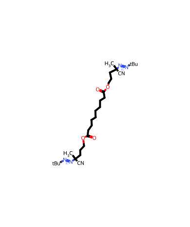 CC(C)(C)/N=N/C(C)(C#N)CCCOC(=O)CCCCCCCCC(=O)OCCCC(C)(C#N)/N=N/C(C)(C)C